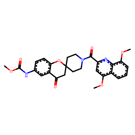 COC(=O)Nc1ccc2c(c1)C(=O)CC1(CCN(C(=O)c3cc(OC)c4cccc(OC)c4n3)CC1)O2